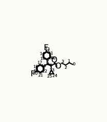 CCCCOC(=O)C(=C(c1ccc(F)cc1)c1ccc(F)cc1)C1CC1